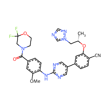 COc1cc(C(=O)N2CCOC(F)(F)C2)ccc1Nc1ncc(-c2ccc(C#N)c(O[C@@H](C)Cn3cncn3)c2)cn1